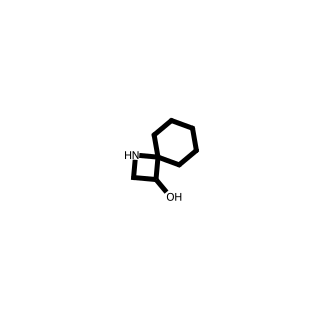 OC1CNC12CCCCC2